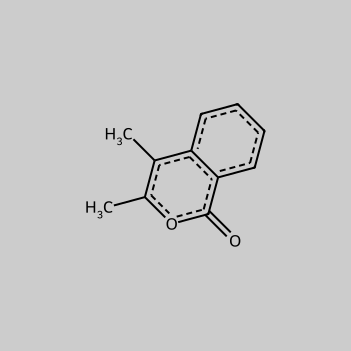 Cc1oc(=O)c2ccccc2c1C